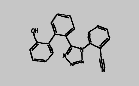 N#Cc1ccccc1-n1nnnc1-c1ccccc1-c1ccccc1O